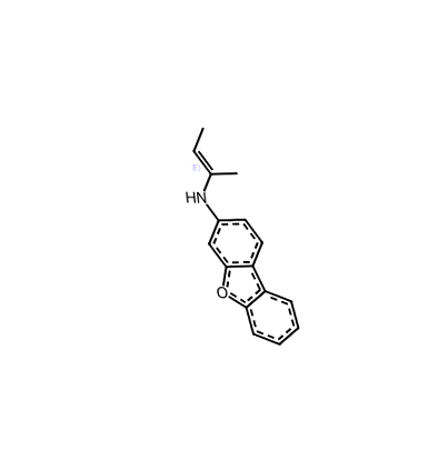 C/C=C(\C)Nc1ccc2c(c1)oc1ccccc12